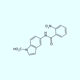 O=C(Nc1ccc2c(ccn2C(=O)O)c1)c1ccccc1[N+](=O)[O-]